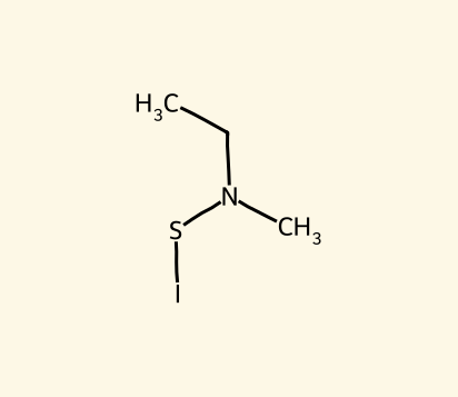 CCN(C)SI